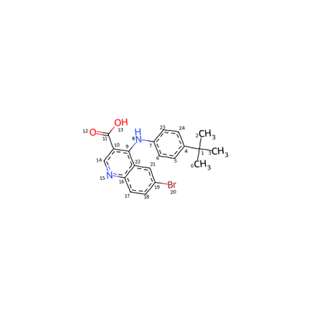 CC(C)(C)c1ccc(Nc2c(C(=O)O)cnc3ccc(Br)cc23)cc1